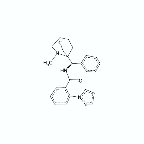 CN1CC2CCC1([C@H](NC(=O)c1ccccc1-n1cccn1)c1ccccc1)CC2